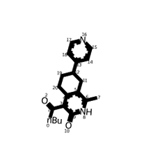 CCCCC(=O)c1c2c(c(C)[nH]c1=O)CC(c1ccncc1)CC2